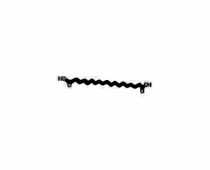 O=C(O)CCCCCCCCCCCCCC=CC=CC1=C(O)O1